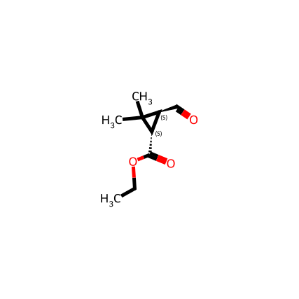 CCOC(=O)[C@H]1[C@H](C=O)C1(C)C